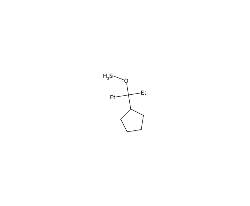 CCC(CC)(O[SiH3])C1CCCC1